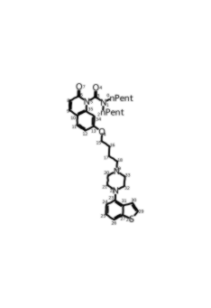 CCCCCN(CCCCC)C(=O)n1c(=O)ccc2ccc(OCCCCN3CCN(c4cccc5sccc45)CC3)cc21